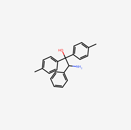 Cc1ccc(C(O)(c2ccc(C)cc2)C(N)c2ccccc2)cc1